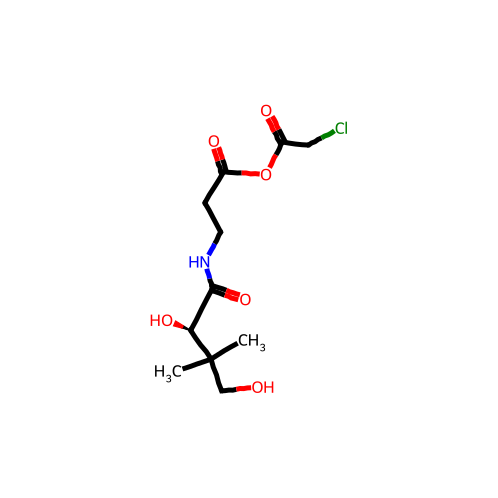 CC(C)(CO)[C@@H](O)C(=O)NCCC(=O)OC(=O)CCl